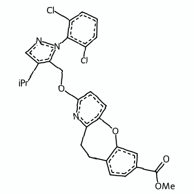 COC(=O)c1ccc2c(c1)Oc1ccc(OCc3c(C(C)C)cnn3-c3c(Cl)cccc3Cl)nc1CC2